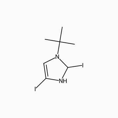 CC(C)(C)N1C=C(I)NC1I